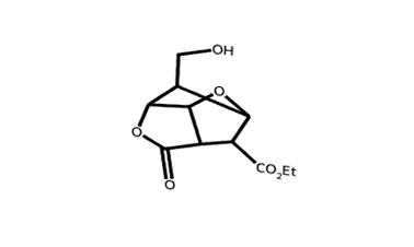 CCOC(=O)C1C2OC3C(OC(=O)C31)C2CO